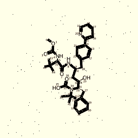 COC(=O)N[C@H](C(=O)N[C@@H](Cc1ccc(-c2ccccn2)cc1)C[C@H](O)[C@H](Cc1ccccc1)N(C(=O)O)C(C)(C)C)C(C)(C)C